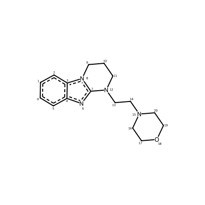 c1ccc2c(c1)nc1n2CCCN1CCN1CCOCC1